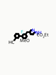 C#Cc1cccc(-c2c(OC)ccc(Cc3ccc(NC(=O)OCC)nc3)c2F)c1